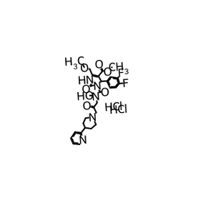 COCC1=C(C(=O)OC)C(c2ccc(F)c(F)c2)N(C(=O)N(O)CC(=O)CN2CCC(c3ccccn3)CC2)C(=O)N1.Cl.Cl